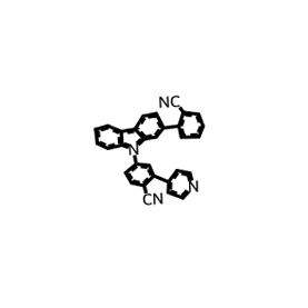 N#Cc1ccccc1-c1ccc2c3ccccc3n(-c3ccc(C#N)c(-c4ccncc4)c3)c2c1